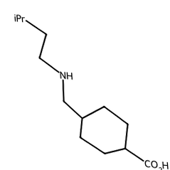 CC(C)CCNCC1CCC(C(=O)O)CC1